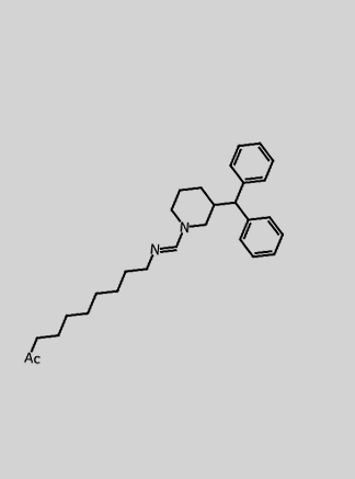 CC(=O)CCCCCCCCN=CN1CCCC(C(c2ccccc2)c2ccccc2)C1